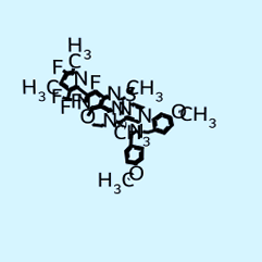 COc1ccc(CN(Cc2ccc(OC)cc2)c2nccnc2[C@@H](C)N2CCOc3nc(-c4nc(C)c(F)c(C)c4C(F)(F)F)c(F)c4nc(SC)nc2c34)cc1